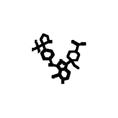 CCC1(n2nc(Nc3ccc(C4(C(F)(F)F)CCCN4)cc3)c3c(=O)[nH]ccc32)CCN(C(=O)O)CC1